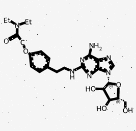 CCN(CC)C(=O)COc1ccc(CCNc2nc(N)c3ncn([C@@H]4O[C@H](CO)C(O)C4O)c3n2)cc1